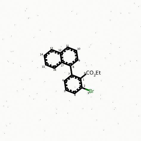 CCOC(=O)c1c(Br)cccc1-c1cccc2ccccc12